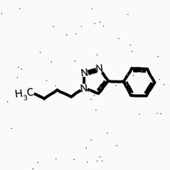 CCCCn1cc(-c2ccccc2)nn1